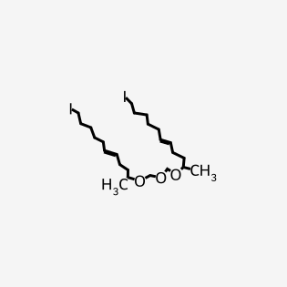 CC(CCC=CCCCCCI)OCOCOC(C)CCC=CCCCCCI